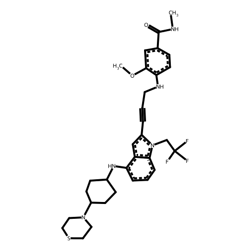 CNC(=O)c1ccc(NCC#Cc2cc3c(NC4CCC(N5CCSCC5)CC4)cccc3n2CC(F)(F)F)c(OC)c1